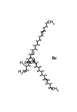 CCCC/C=C/CCCCCCCCOCC(C[N+](C)(C)CCCN)OCCCCCCCC/C=C/CCCC.[Br-]